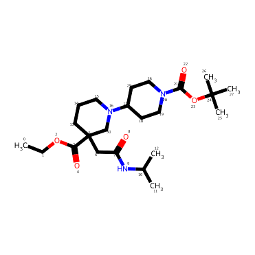 CCOC(=O)C1(CC(=O)NC(C)C)CCCN(C2CCN(C(=O)OC(C)(C)C)CC2)C1